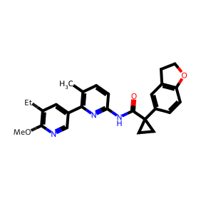 CCc1cc(-c2nc(NC(=O)C3(c4ccc5c(c4)CCO5)CC3)ccc2C)cnc1OC